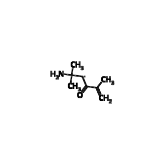 C=C(C)C(=O)[CH]C(C)(C)N